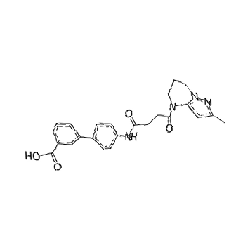 Cc1cc2n(n1)CCCN2C(=O)CCC(=O)Nc1ccc(-c2cccc(C(=O)O)c2)cc1